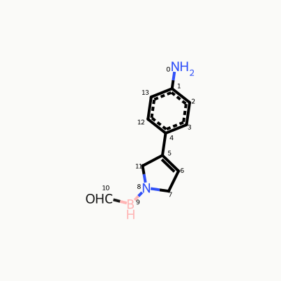 Nc1ccc(C2=CCN(BC=O)C2)cc1